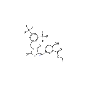 CCOC(=O)c1cc(/C=C2/SC(=O)N(Cc3cc(C(F)(F)F)cc(C(F)(F)F)c3)C2=O)ccc1O